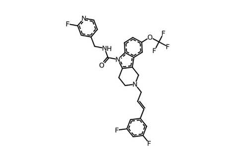 O=C(NCc1ccnc(F)c1)n1c2c(c3cc(OC(F)(F)F)ccc31)CN(C/C=C/c1cc(F)cc(F)c1)CC2